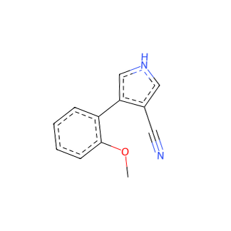 COc1ccccc1-c1c[nH]cc1C#N